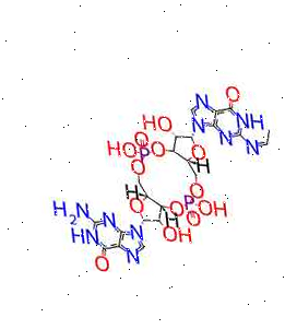 C/C=N\c1nc2c(ncn2[C@@H]2O[C@@H]3COP(=O)(O)O[C@@H]4C(O)[C@H](n5cnc6c(=O)[nH]c(N)nc65)O[C@@H]4COP(=O)(O)OC3[C@@H]2O)c(=O)[nH]1